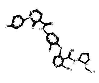 N=C(N[C@@H]1CCC[C@@H]1CO)c1c(Oc2ccc(NC(=O)c3ccnn(-c4ccc(F)cc4)c3=O)cc2F)ccnc1N